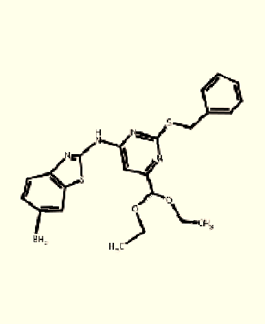 Bc1ccc2nc(Nc3cc(C(OCC)OCC)nc(SCc4ccccc4)n3)sc2c1